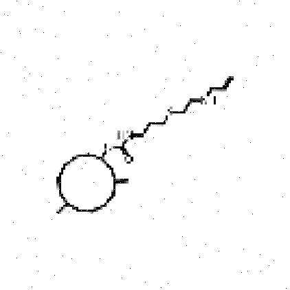 C=CCNCCSCCCNC(=O)OC1CCCCCC(C)CCCCC(C)C1